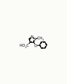 Cn1ncc(C(=O)O)c1Oc1ccccc1